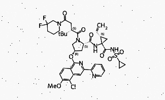 C=C[C@@H]1CC1(NC(=O)[C@@H]1C[C@@H](Oc2nc(-c3ccccn3)cc3c(Cl)c(OC)ccc23)CN1C(=O)[C@@H](CC(=O)N1CCCC(F)(F)C1)C(C)(C)C)C(=O)NS(=O)(=O)C1CC1